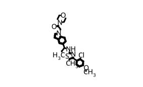 CCC(Nc1nc(-c2ccc(OC)cc2Cl)c(C)s1)c1ccc2c(ccn2CC(=O)N2CCOCC2)c1